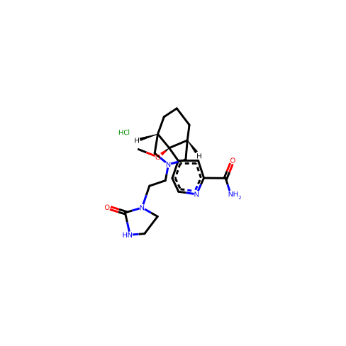 CO[C@]1(c2ccnc(C(N)=O)c2)[C@@H]2CCC[C@H]1CN(CCN1CCNC1=O)C2.Cl